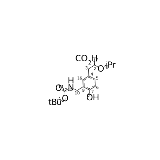 CC(C)OC(Cc1ccc(O)c(CNC(=O)OC(C)(C)C)c1)C(=O)O